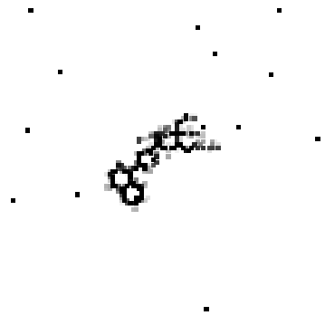 CCOC(=O)CC(NC(=O)[C@]1(C(C)C)CC(c2nccc3ccccc23)=NO1)C(CF)(OC)OC